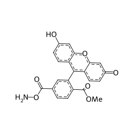 COC(=O)c1ccc(C(=O)ON)cc1-c1c2ccc(=O)cc-2oc2cc(O)ccc12